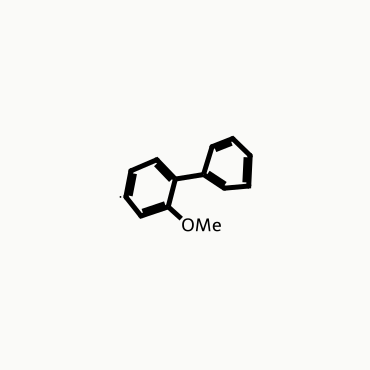 COc1c[c]ccc1-c1ccccc1